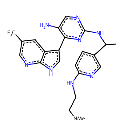 CNCCNc1ccc(C(C)Nc2ncc(N)c(-c3c[nH]c4ncc(C(F)(F)F)cc34)n2)cn1